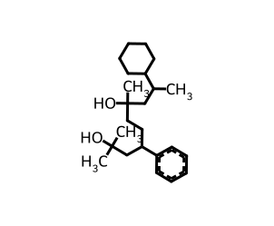 CC(CC(C)(O)CCC(CC(C)(C)O)c1ccccc1)C1CCCCC1